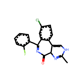 CC1=NC2C(=O)N=C(c3ccccc3F)c3cc(Cl)ccc3C2=CN1